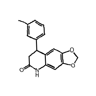 Cc1cccc(C2CC(=O)Nc3cc4c(cc32)OCO4)c1